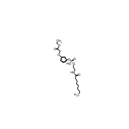 CCCCCCCC(=O)NCCOP(=O)(O)Oc1cccc(OCC(=O)OCC)c1